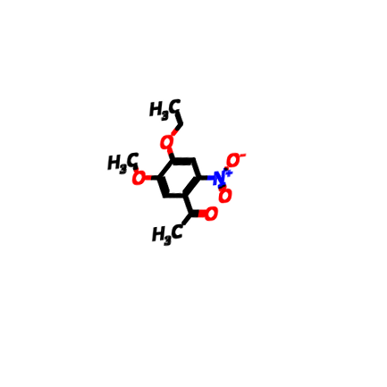 CCOc1cc([N+](=O)[O-])c(C(C)=O)cc1OC